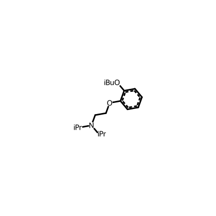 CC(C)COc1ccccc1OCCN(C(C)C)C(C)C